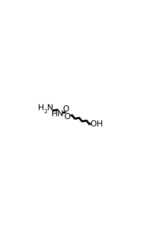 NCCNC(=O)OCCCCCCO